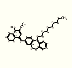 [C-]#[N+]/C(=C/C(=C\c1ccc2c(c1)CCc1ccccc1N2CCCCCCCCCC)c1ccccc1)C(=O)O